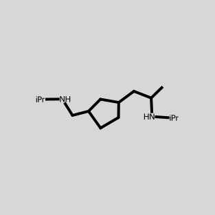 CC(C)NCC1CCC(CC(C)NC(C)C)C1